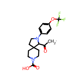 [CH2]C(=O)C1N(c2ccc(OC(F)(F)F)cc2)CCC12CCN(C(=O)O)CC2